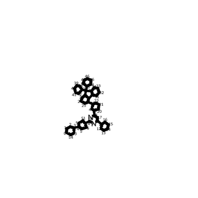 c1ccc(-c2ccc(-c3nc(-c4ccccc4)cc(-c4cccc(-c5cccc6c5-c5ccccc5C6(c5ccccc5)c5ccccc5)c4)n3)cc2)cc1